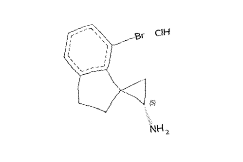 Cl.N[C@H]1CC12CCc1cccc(Br)c12